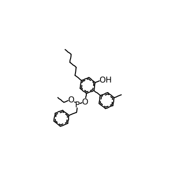 CCCCCc1cc(O)c(-c2cccc(C)c2)c(OP(Cc2ccccc2)OCC)c1